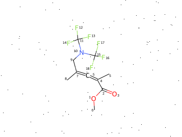 COC(=O)C(C)=C=C(C)CN(C(F)(F)F)C(F)(F)F